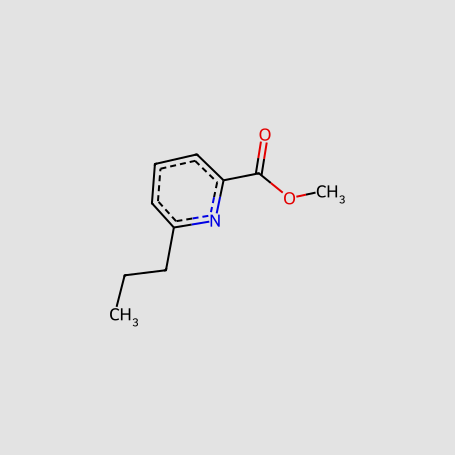 CCCc1cccc(C(=O)OC)n1